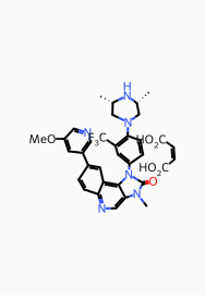 COc1cncc(-c2ccc3ncc4c(c3c2)n(-c2ccc(N3C[C@@H](C)N[C@@H](C)C3)c(C(F)(F)F)c2)c(=O)n4C)c1.O=C(O)/C=C\C(=O)O